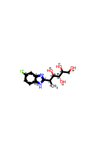 CC(c1nc2cc(F)ccc2[nH]1)[C@@H](O)[C@@H](O)C(O)CO